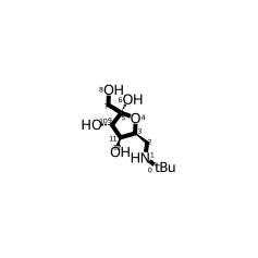 CC(C)(C)NC[C@@H]1O[C@](O)(CO)[C@@H](O)[C@@H]1O